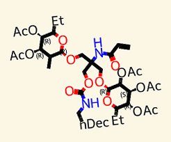 C=CC(=O)NC(COC(=O)NCCCCCCCCCCC)(CO[C@@H]1OC(CC)[C@@H](OC(C)=O)[C@H](OC(C)=O)C1C)CO[C@@H]1OC(CC)[C@@H](OC(C)=O)[C@H](OC(C)=O)C1OC(C)=O